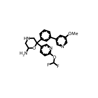 COc1cncc(-c2cccc(C3(c4ccc(OC(F)F)nc4)CNCC(N)O3)c2)c1